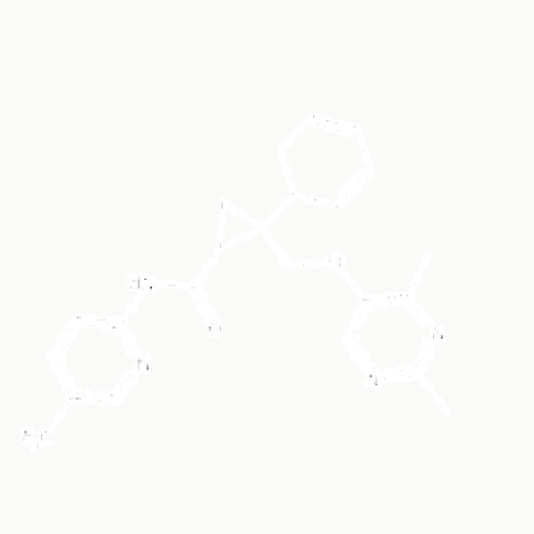 Cc1ncc(OC[C@@]2(C3C=CC=CC3)C[C@H]2C(=O)Nc2ccc(C(F)(F)F)cn2)c(C)n1